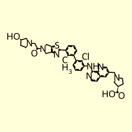 Cc1c(-c2nc3c(s2)CN(C(=O)CN2CC[C@@H](O)C2)C3)cccc1-c1cccc(Nc2nccc3cc(CN4CC[C@@H](C(=O)O)C4)cnc23)c1Cl